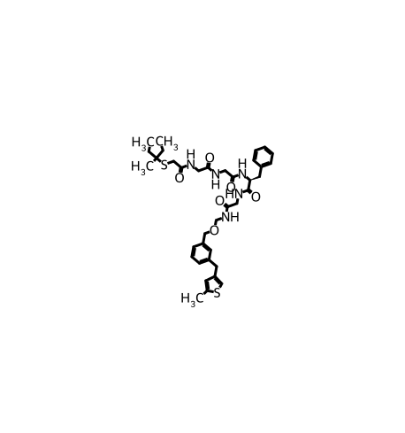 CCC(C)(CC)SCC(=O)NCC(=O)NCC(=O)N[C@@H](Cc1ccccc1)C(=O)NCC(=O)NCOCc1cccc(Cc2csc(C)c2)c1